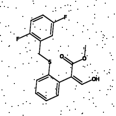 COC(=O)C(=CO)c1ccccc1SCc1cc(F)ccc1F